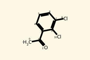 [CH2]C(=O)c1cccc(Cl)c1Cl